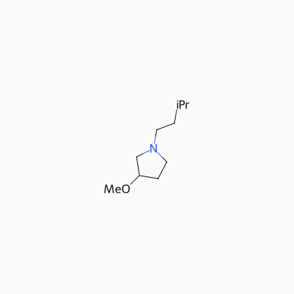 COC1CCN(CCC(C)C)C1